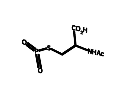 CC(=O)NC(CSP(=O)=O)C(=O)O